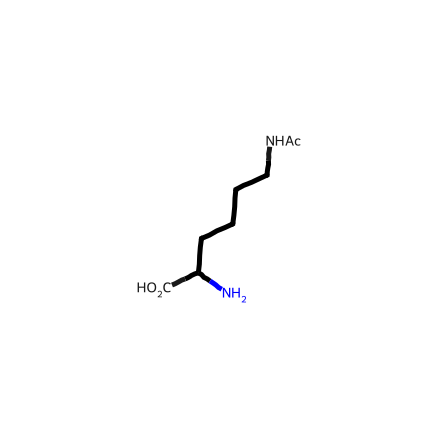 [CH2]C(=O)NCCCCC(N)C(=O)O